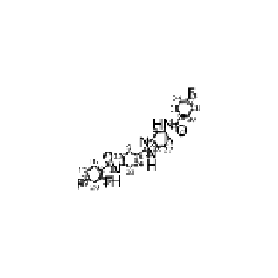 O=C(Nc1cc2nc(-c3ccc(NC(=O)c4ccc(F)cc4F)cc3)[nH]c2cn1)c1ccc(F)cc1